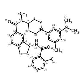 Cc1cc(N2CCC(N(C)C(=O)c3ccc4c(c3)[C@H](NC(=O)c3ccccc3Cl)CC4)CC2)nc(N(C)C)n1